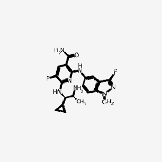 C[C@H](N)[C@H](Nc1nc(Nc2ccc3c(c2)c(F)nn3C)c(C(N)=O)cc1F)C1CC1